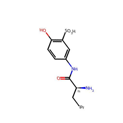 CC(C)C[C@H](N)C(=O)Nc1ccc(O)c(S(=O)(=O)O)c1